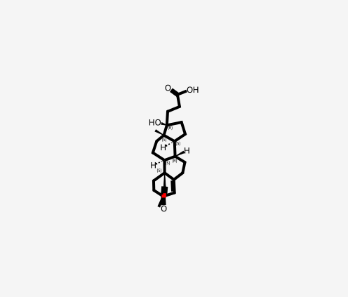 CC#C[C@]12CCC(=O)C=C1CC[C@@H]1[C@@H]2CC[C@@]2(C)[C@H]1CC[C@@]2(O)CCC(=O)O